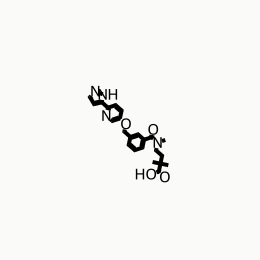 CN(CCC(C)(C)C(=O)O)C(=O)c1cccc(COc2ccc(-c3ccn[nH]3)nc2)c1